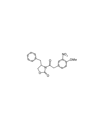 COc1ccc(CC(=O)N2C(=O)OCC2Cc2ccccc2)cc1[N+](=O)[O-]